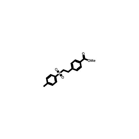 COC(=O)c1ccc(CCS(=O)(=O)c2ccc(C)cc2)cc1